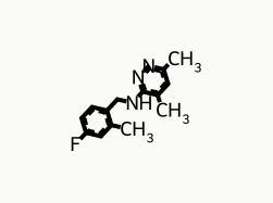 Cc1cc(C)c(NCc2ccc(F)cc2C)nn1